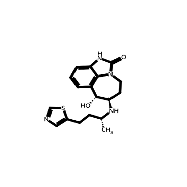 C[C@H](CCc1cncs1)N[C@@H]1CCn2c(=O)[nH]c3cccc(c32)[C@H]1O